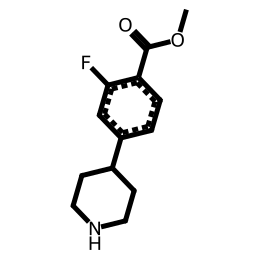 COC(=O)c1ccc(C2CCNCC2)cc1F